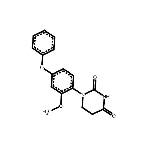 COc1cc(Oc2ccccc2)ccc1N1CCC(=O)NC1=O